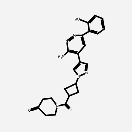 Nc1nnc(-c2ccccc2O)cc1-c1cnn(C2CC(C(=O)N3CCC(=O)CC3)C2)c1